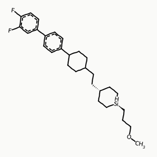 COCCC[Si@H]1CC[C@H](CCC2CCC(c3ccc(-c4ccc(F)c(F)c4)cc3)CC2)CC1